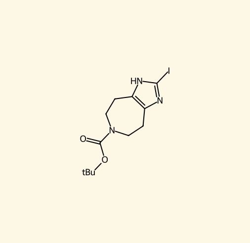 CC(C)(C)OC(=O)N1CCc2nc(I)[nH]c2CC1